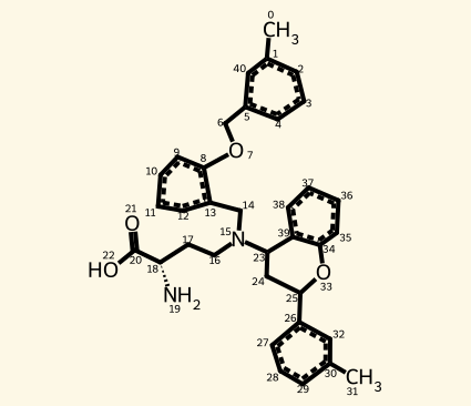 Cc1cccc(COc2ccccc2CN(CC[C@H](N)C(=O)O)C2CC(c3cccc(C)c3)Oc3ccccc32)c1